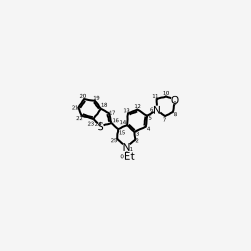 CCN1Cc2cc(N3CCOCC3)ccc2C(c2cc3ccccc3s2)C1